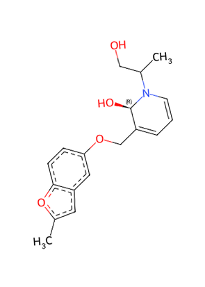 Cc1cc2cc(OCC3=CC=CN(C(C)CO)[C@@H]3O)ccc2o1